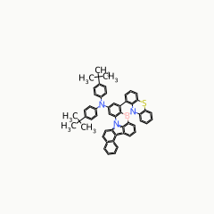 CC(C)(C)c1ccc(N(c2ccc(C(C)(C)C)cc2)c2cc3c4c(c2)-n2c5ccc6ccccc6c5c5cccc(c52)B4N2c4ccccc4Sc4cccc-3c42)cc1